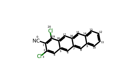 N#Cc1c(Cl)cc2cc3cc4ccccc4cc3cc2c1Cl